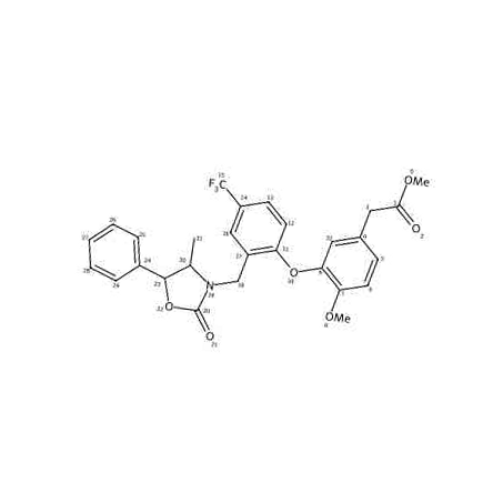 COC(=O)Cc1ccc(OC)c(Oc2ccc(C(F)(F)F)cc2CN2C(=O)OC(c3ccccc3)C2C)c1